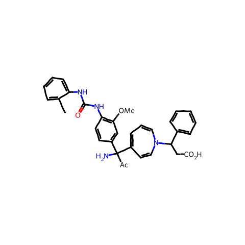 COc1cc(C(N)(C(C)=O)C2=CC=CN(C(CC(=O)O)c3ccccc3)C=C2)ccc1NC(=O)Nc1ccccc1C